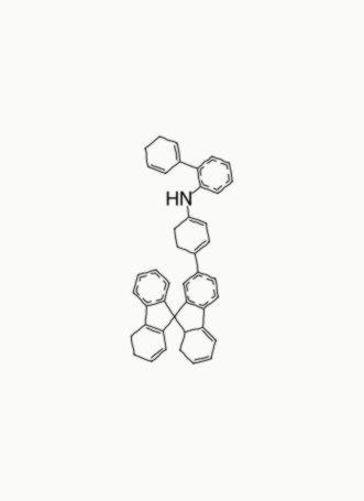 C1=CCC2C(=C1)c1ccc(C3=CC=C(Nc4ccccc4C4=CCCC=C4)CC3)cc1C21C2=C(CCC=C2)c2ccccc21